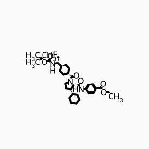 CCOC(=O)c1ccc(NC(=O)[C@@H]2[C@H](C3CCCCC3)CCN2C(=O)[C@H]2CC[C@H]([C@@H](CF)NC(=O)OC(C)(C)C)CC2)cc1